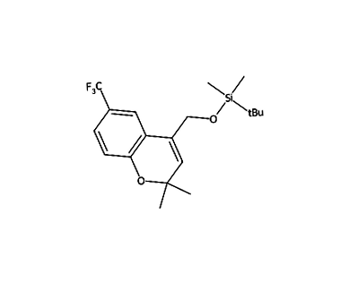 CC1(C)C=C(CO[Si](C)(C)C(C)(C)C)c2cc(C(F)(F)F)ccc2O1